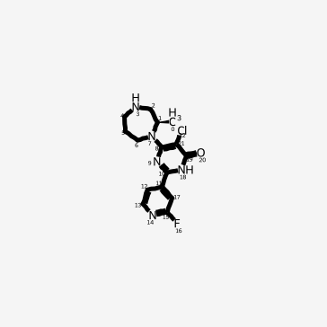 C[C@@H]1CNCCCN1c1nc(-c2ccnc(F)c2)[nH]c(=O)c1Cl